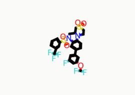 O=S1(=O)CCN2c3ccc(-c4cc(F)cc(OC(F)F)c4)cc3N(S(=O)(=O)c3cccc(C(F)(F)F)c3)CC2C1